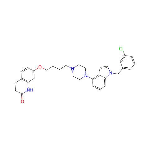 O=C1CCc2ccc(OCCCCN3CCN(c4cccc5c4ccn5Cc4cccc(Cl)c4)CC3)cc2N1